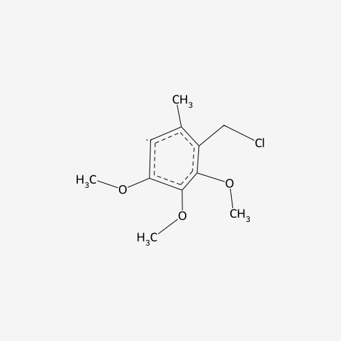 COc1[c]c(C)c(CCl)c(OC)c1OC